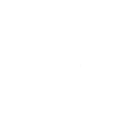 CC=CCP(=O)(O)C(C)C